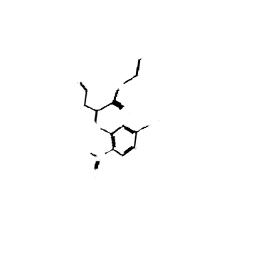 CCOC(=O)C(CCBr)Oc1cc(F)ccc1[N+](=O)[O-]